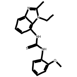 CCn1c(C)nc2cccc(NC(=S)Nc3ccccc3OC)c21